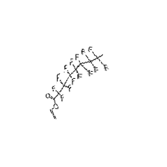 C=COC(=O)C(F)(F)C(F)(F)C(F)(F)C(F)(F)C(F)(F)C(F)(F)C(C)(F)F